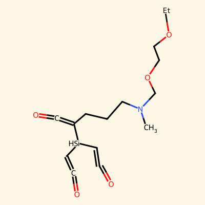 CCOCCOCN(C)CCCC(=C=O)[SiH](C=C=O)C=C=O